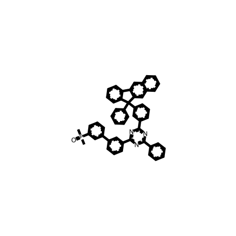 CP(C)(=O)c1cccc(-c2cccc(-c3nc(-c4ccccc4)nc(-c4cccc(C5(c6ccccc6)c6ccccc6-c6cc7ccccc7cc65)c4)n3)c2)c1